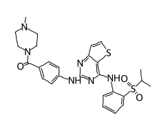 CC(C)S(=O)(=O)c1ccccc1Nc1nc(Nc2ccc(C(=O)N3CCN(C)CC3)cc2)nc2ccsc12